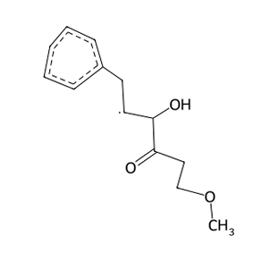 COCCC(=O)C(O)[CH]Cc1ccccc1